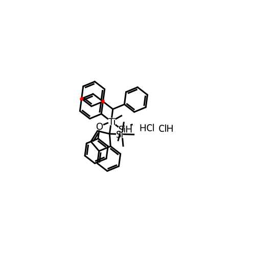 C[SiH](C)[Ti]([CH3])([O]c1ccccc1)([c]1ccccc1)([CH](c1ccccc1)c1ccccc1)[C]1([Si](C)(C)C)C=Cc2ccccc21.Cl.Cl